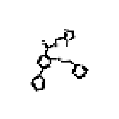 O=C(NCc1ncc[nH]1)c1ccc(-c2ccccc2)nc1NCCc1ccccn1